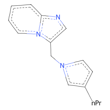 CCCc1ccn(Cc2cnc3ccccn23)c1